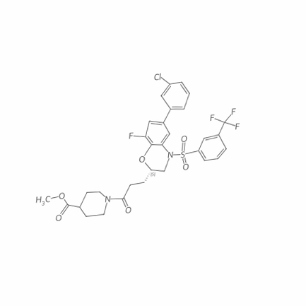 COC(=O)C1CCN(C(=O)CC[C@H]2CN(S(=O)(=O)c3cccc(C(F)(F)F)c3)c3cc(-c4cccc(Cl)c4)cc(F)c3O2)CC1